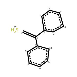 C=C(c1ccccc1)c1ccccc1.S